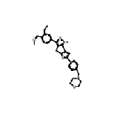 CCc1cc(-c2n[nH]c3c2Cc2sc(-c4ccc(CN5CCOCC5)cc4)cc2-3)ccc1/C=N\C